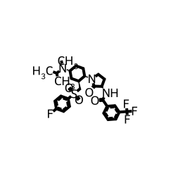 CC(C)N(C)[C@@H]1CC[C@H](N2CC[C@H](NC(=O)c3cccc(C(F)(F)F)c3)C2=O)[C@@H](CS(=O)(=O)c2ccc(F)cc2)C1